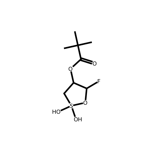 CC(C)(C)C(=O)OC1CS(O)(O)OC1F